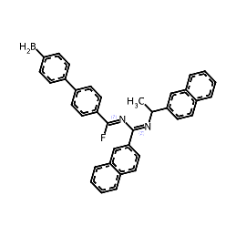 Bc1ccc(-c2ccc(/C(F)=N/C(=N\C(C)c3ccc4ccccc4c3)c3ccc4ccccc4c3)cc2)cc1